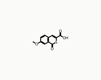 COc1ccc2cc(C(=O)O)sc(=O)c2c1